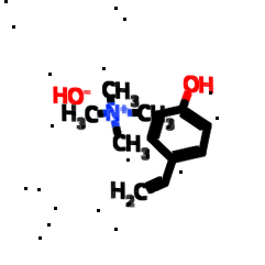 C=Cc1ccc(O)cc1.C[N+](C)(C)C.[OH-]